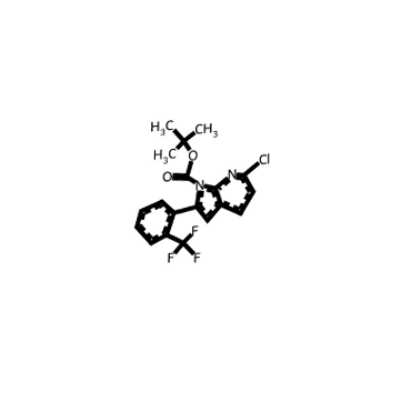 CC(C)(C)OC(=O)n1c(-c2ccccc2C(F)(F)F)cc2ccc(Cl)nc21